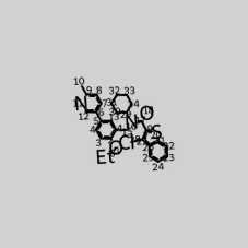 CCOc1ccc(-c2ccc(C)nc2)cc1CN(C(=O)c1sc2ccccc2c1Cl)C1CCCCC1